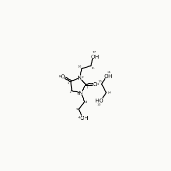 O=C1CN(CCO)C(=O)N1CCO.OCCO